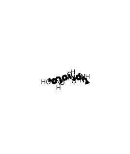 Cc1cc(C(=O)NCC(=O)N2CCC(N3CCc4cc(C(C)O)ccc4NC3=O)CC2)cc2nc(CC3CC3)[nH]c12